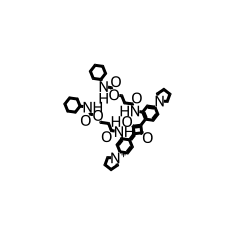 O=C(CCOC(=O)NC1CCCCC1)NC1=CC(=[N+]2CCCC2)C=C/C1=C1\C(=O)C(c2ccc(N3CCCC3)cc2NC(=O)CCOC(=O)NC2CCCCC2)=C1O